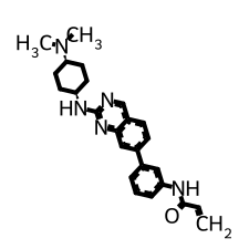 C=CC(=O)Nc1cccc(-c2ccc3cnc(N[C@H]4CC[C@@H](N(C)C)CC4)nc3c2)c1